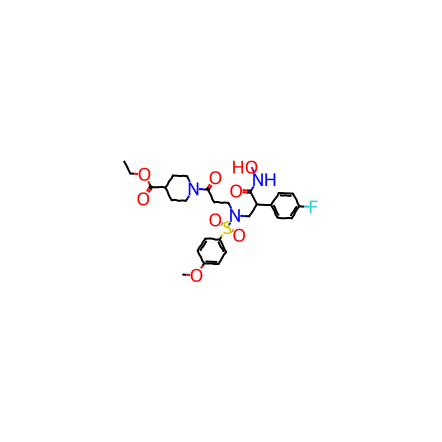 CCOC(=O)C1CCN(C(=O)CCN(CC(C(=O)NO)c2ccc(F)cc2)S(=O)(=O)c2ccc(OC)cc2)CC1